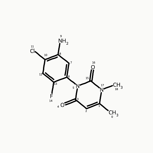 Cc1cc(=O)n(-c2cc(N)c(Cl)cc2F)c(=O)n1C